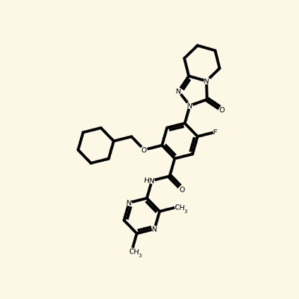 Cc1cnc(NC(=O)c2cc(F)c(-n3nc4n(c3=O)CCCC4)cc2OCC2CCCCC2)c(C)n1